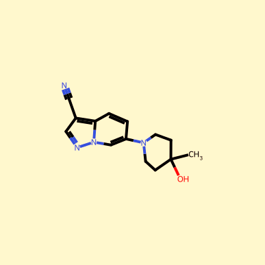 CC1(O)CCN(c2ccc3c(C#N)cnn3c2)CC1